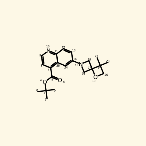 CC(C)(C)OC(=O)c1ccnc2ccc(N3CC4(C3)OCC4(C)C)cc12